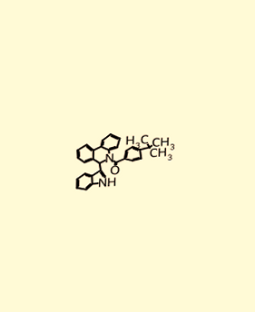 CC(C)(C)c1ccc(C(=O)N2c3ccccc3-c3ccccc3C2c2c[nH]c3ccccc23)cc1